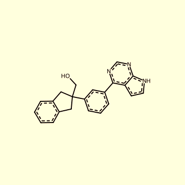 OCC1(c2cccc(-c3ncnc4[nH]ccc34)c2)Cc2ccccc2C1